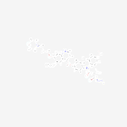 COc1cc2c(Oc3ccc(N(C(=O)C4(C(N)=O)CC4)c4ccc(F)cc4)c(C)c3)ccnc2cc1OCCCN1CCOCC1